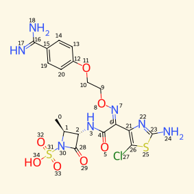 C[C@H]1[C@H](NC(=O)/C(=N\OCCOc2ccc(C(=N)N)cc2)c2nc(N)sc2Cl)C(=O)N1S(=O)(=O)O